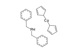 C1=C[CH]([Co][CH]2C=CC=C2)C=C1.c1ccc(CPCc2ccccc2)cc1